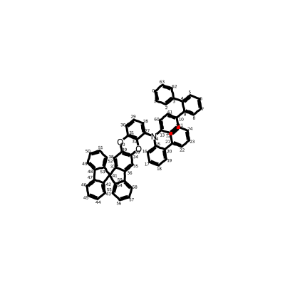 c1ccc(-c2ccccc2-c2ccc(N(c3ccccc3-c3ccccc3)c3cccc4c3Oc3cc5c(cc3O4)C3(c4ccccc4-c4ccccc43)c3ccccc3-5)cc2)cc1